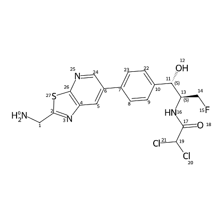 NCc1nc2cc(-c3ccc([C@H](O)[C@@H](CF)NC(=O)C(Cl)Cl)cc3)cnc2s1